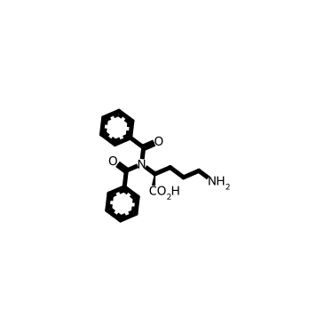 NCCC[C@@H](C(=O)O)N(C(=O)c1ccccc1)C(=O)c1ccccc1